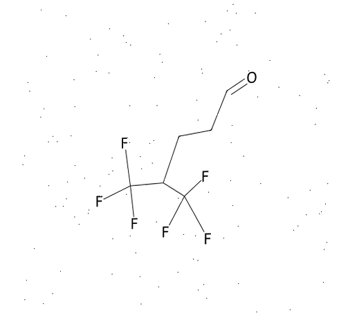 O=CCCC(C(F)(F)F)C(F)(F)F